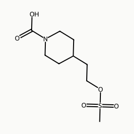 CS(=O)(=O)OCCC1CCN(C(=O)O)CC1